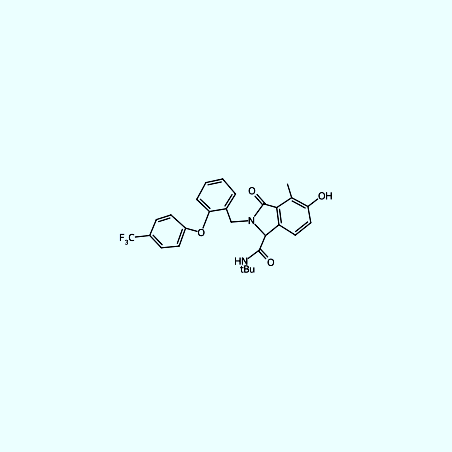 Cc1c(O)ccc2c1C(=O)N(Cc1ccccc1Oc1ccc(C(F)(F)F)cc1)C2C(=O)NC(C)(C)C